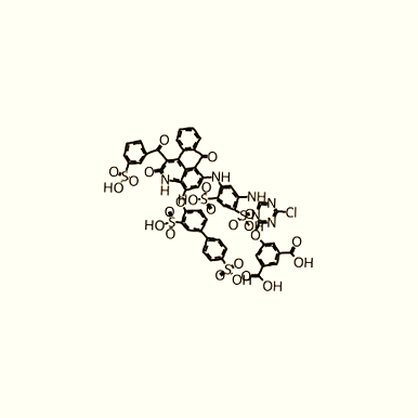 O=C(O)c1cc(Oc2nc(Cl)nc(Nc3cc(Nc4cc(Oc5ccc(-c6ccc(S(=O)(=O)O)cc6)cc5S(=O)(=O)O)c5[nH]c(=O)c(C(=O)c6cccc(S(=O)(=O)O)c6)c6c5c4C(=O)c4ccccc4-6)c(S(=O)(=O)O)cc3S(=O)(=O)O)n2)cc(C(=O)O)c1